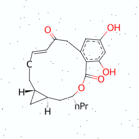 CCC[C@@H]1C[C@H]2C[C@@H]2CC/C=C/C(=O)Cc2cc(O)cc(O)c2C(=O)O1